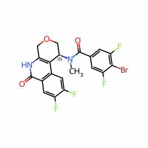 CN(C(=O)c1cc(F)c(Br)c(F)c1)[C@@H]1COCc2[nH]c(=O)c3cc(F)c(F)cc3c21